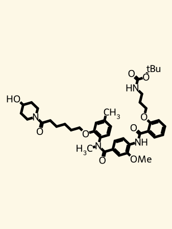 COc1cc(C(=O)N(C)c2ccc(C)cc2OCCCCCC(=O)N2CCC(O)CC2)ccc1NC(=O)c1ccccc1OCCCNC(=O)OC(C)(C)C